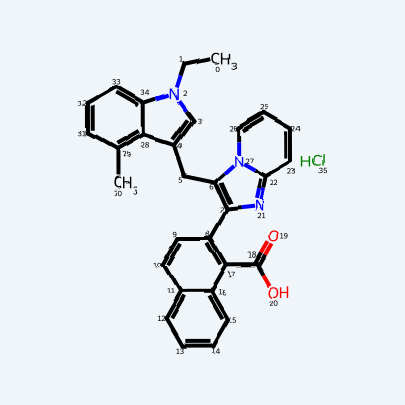 CCn1cc(Cc2c(-c3ccc4ccccc4c3C(=O)O)nc3ccccn23)c2c(C)cccc21.Cl